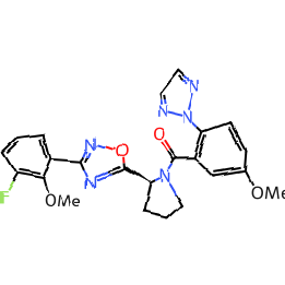 COc1ccc(-n2nccn2)c(C(=O)N2CCC[C@H]2c2nc(-c3cccc(F)c3OC)no2)c1